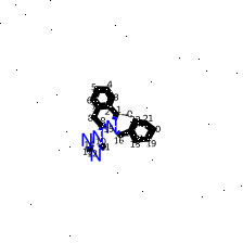 C[C@H]1c2ccccc2CC(n2cncn2)N1Cc1ccccc1